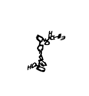 CNC(=O)N1CCCC1C1CCN(C2CC3(CCN(C(=O)O)C3)C2)CC1